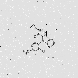 Cc1ccc(N2c3ncccc3NC2C(=O)NC2CC2)c(Cl)c1